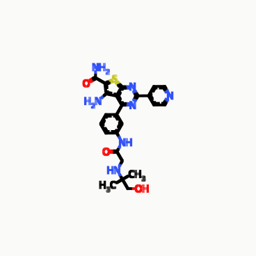 CC(C)(CO)NCC(=O)Nc1cccc(-c2nc(-c3ccncc3)nc3sc(C(N)=O)c(N)c23)c1